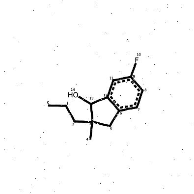 CCCC1(C)Cc2ccc(F)cc2C1O